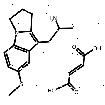 CSc1ccc2c(c1)c(CC(C)N)c1n2CCC1.O=C(O)/C=C/C(=O)O